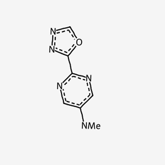 CNc1cnc(-c2nnco2)nc1